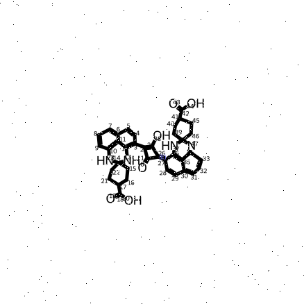 O=C1C(c2ccc3cccc4c3c2NC2(CCC(C(=O)O)CC2)N4)=C(O)/C1=c1/ccc2cccc3c2c1NC1(CCC(C(=O)O)CC1)N=3